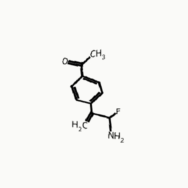 C=C(c1ccc(C(C)=O)cc1)C(N)F